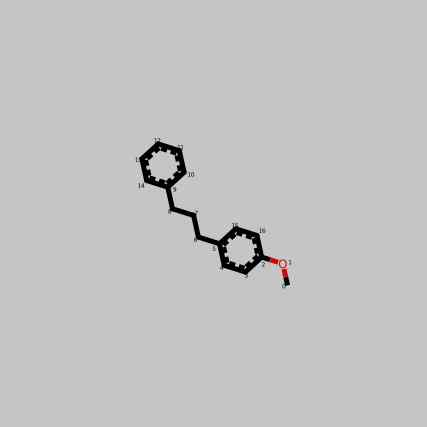 COc1ccc(C[CH]Cc2ccccc2)cc1